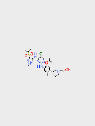 Cc1cc(Nc2ncc(Cl)c(Nc3cn(C)nc3S(=O)(=O)C(C)C)n2)c(OC(C)C)cc1C1CCCN(CCO)C1